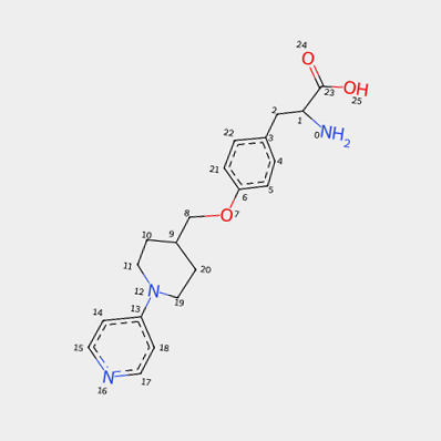 NC(Cc1ccc(OCC2CCN(c3ccncc3)CC2)cc1)C(=O)O